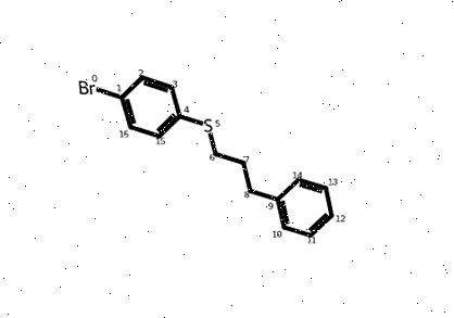 Brc1ccc(SCCCc2ccccc2)cc1